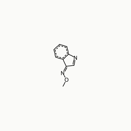 CON=C1C=Nc2ccccc21